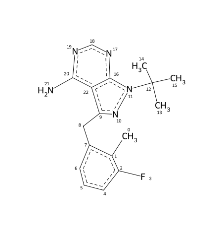 Cc1c(F)cccc1Cc1nn(C(C)(C)C)c2ncnc(N)c12